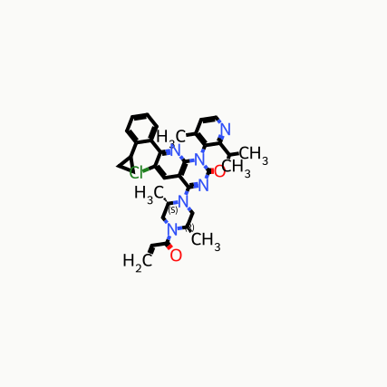 C=CC(=O)N1C[C@H](C)N(c2nc(=O)n(-c3c(C)ccnc3C(C)C)c3nc(-c4ccccc4C4CC4)c(Cl)cc23)C[C@H]1C